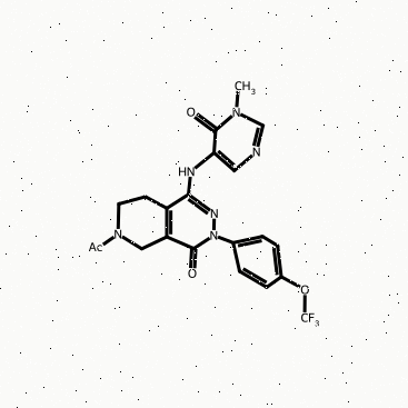 CC(=O)N1CCc2c(Nc3cncn(C)c3=O)nn(-c3ccc(OC(F)(F)F)cc3)c(=O)c2C1